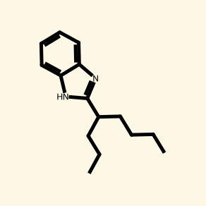 CCCCC(CCC)c1nc2ccccc2[nH]1